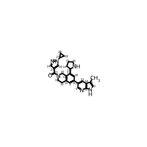 Cc1c[nH]c2ncc(-c3cc4c(c(C5CCCN5)c3)CN(C(=O)c3cnn(C5CC5)c3)CC4)cc12